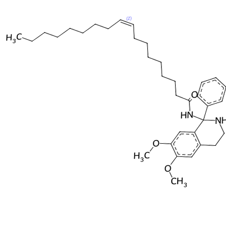 CCCCCCCC/C=C\CCCCCCCC(=O)NC1(c2ccccc2)NCCc2cc(OC)c(OC)cc21